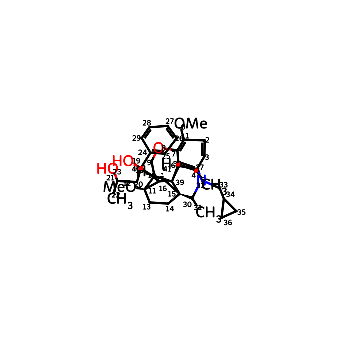 COc1ccc(C)c2c1OC[C@H]1[C@@]3(OC)CC[C@@]4(C[C@@H]3[C@](O)(CC(C)O)c3ccccc3)C(C)N(CC3CC3)CC[C@]214